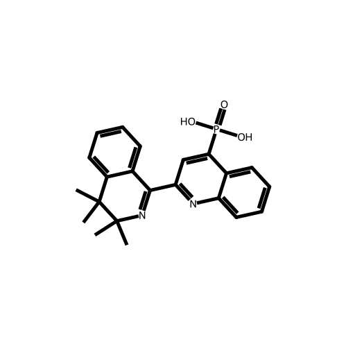 CC1(C)N=C(c2cc(P(=O)(O)O)c3ccccc3n2)c2ccccc2C1(C)C